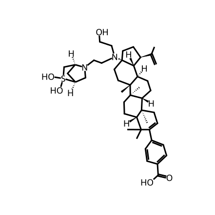 C=C(C)[C@@H]1CC[C@]2(N(CCO)CCN3C[C@@H]4C[C@H]3CS4(O)O)CC[C@]3(C)[C@H](CC[C@@H]4[C@@]5(C)CC=C(c6ccc(C(=O)O)cc6)C(C)(C)[C@@H]5CC[C@]43C)[C@@H]12